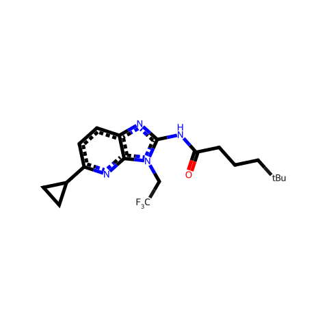 CC(C)(C)CCCC(=O)Nc1nc2ccc(C3CC3)nc2n1CC(F)(F)F